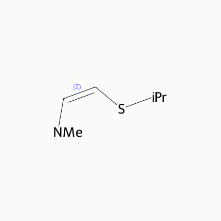 CN/C=C\SC(C)C